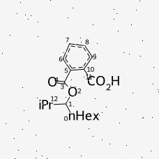 CCCCCCC(OC(=O)c1ccccc1C(=O)O)C(C)C